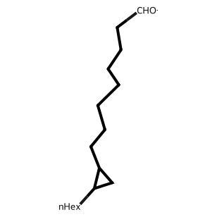 CCCCCCC1CC1CCCCCCC[C]=O